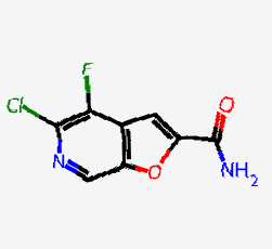 NC(=O)c1cc2c(F)c(Cl)ncc2o1